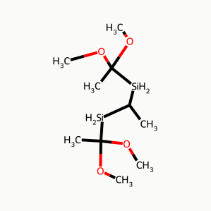 COC(C)(OC)[SiH2]C(C)[SiH2]C(C)(OC)OC